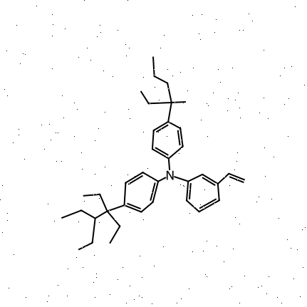 C=Cc1cccc(N(c2ccc(C(C)(CC)CCC)cc2)c2ccc(C(CC)(CC)C(CC)CC)cc2)c1